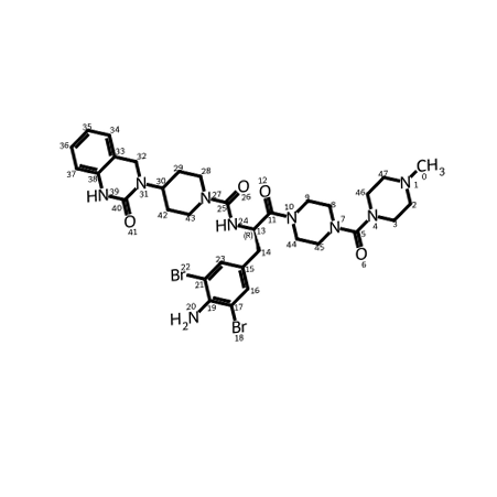 CN1CCN(C(=O)N2CCN(C(=O)[C@@H](Cc3cc(Br)c(N)c(Br)c3)NC(=O)N3CCC(N4Cc5ccccc5NC4=O)CC3)CC2)CC1